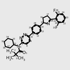 CC(C)(C)C(=O)N(c1ccc(-c2ccc(C3CCC(c4c(F)cccc4F)=N3)cc2)nn1)C1CCCCC1